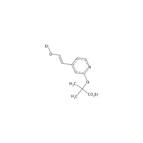 CCO/C=C/c1ccnc(OC(C)(C)C(=O)OCC)c1